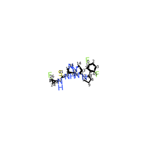 Fc1ccc(F)c([C@H]2CCCN2c2ccn3ncc(NC(=S)N[C@H]4C[C@H]4F)c3n2)c1